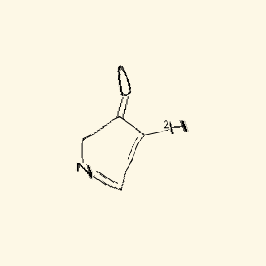 [2H]C1=CC=NCC1=O